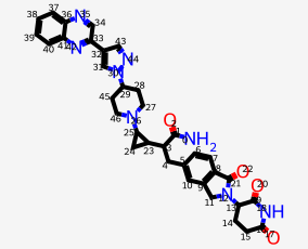 NC(=O)C(Cc1ccc2c(c1)CN(C1CCC(=O)NC1=O)C2=O)C1CC1N1CCC(n2cc(-c3cnc4ccccc4n3)cn2)CC1